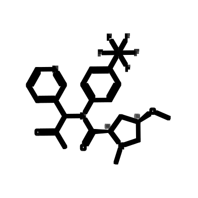 CO[C@@H]1C[C@H](C(=O)N(c2ccc(S(F)(F)(F)(F)F)cc2)C(C(C)=O)c2cccnc2)N(C)C1